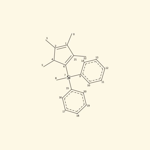 CC1=C(C)C(C)C([Si](C)(c2ccccc2)c2ccccc2)=C1C